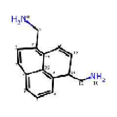 NCc1ccc2cccc3c2c1C=CC3CN